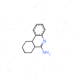 NC1=Nc2ccccc2C2CCCCC12